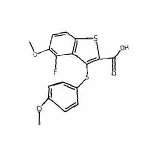 COc1ccc(Sc2c(C(=O)O)sc3ccc(OC)c(F)c23)cc1